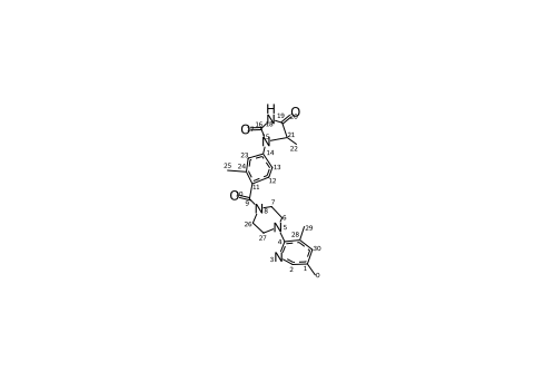 Cc1cnc(N2CCN(C(=O)c3ccc(N4C(=O)NC(=O)C4C)cc3C)CC2)c(C)c1